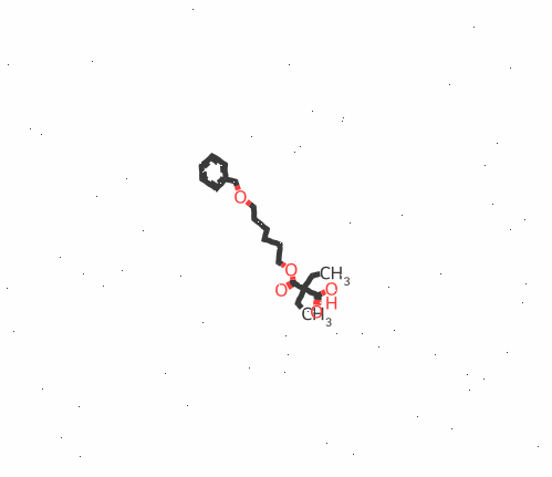 CCC(CC)(C(=O)O)C(=O)OCCCCCCOCc1ccccc1